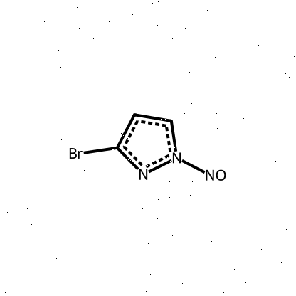 O=Nn1ccc(Br)n1